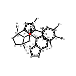 Cn1nc2c(c1-c1cc(F)c(F)c(F)c1)C[C@@H]1CC[C@H]2N1C(=O)c1c(F)ccc2cc[nH]c12